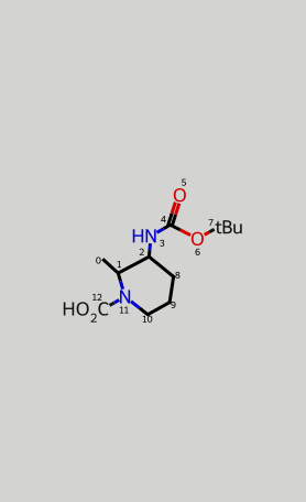 CC1C(NC(=O)OC(C)(C)C)CCCN1C(=O)O